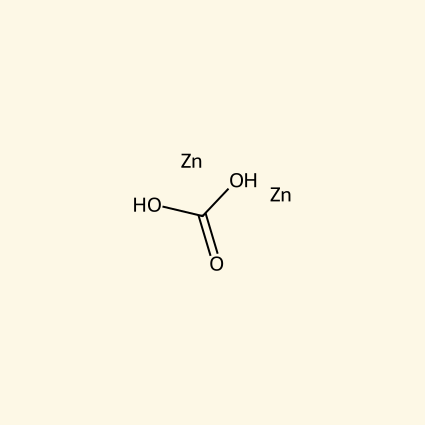 O=C(O)O.[Zn].[Zn]